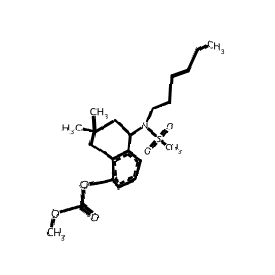 CCCCCCN(C1CC(C)(C)Cc2c(OC(=O)OC)cccc21)S(C)(=O)=O